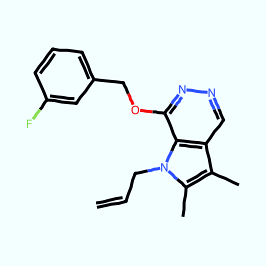 C=CCn1c(C)c(C)c2cnnc(OCc3cccc(F)c3)c21